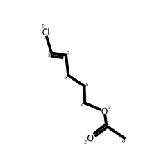 CC(=O)OCCCC=CCl